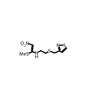 CSC(=C[N+](=O)[O-])NCCSCc1ccsn1